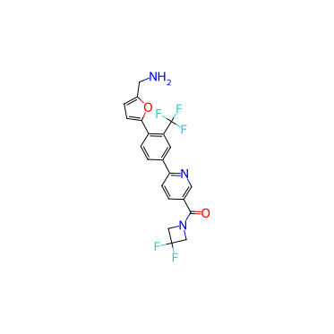 NCc1ccc(-c2ccc(-c3ccc(C(=O)N4CC(F)(F)C4)cn3)cc2C(F)(F)F)o1